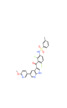 COc1ccc(-c2cnc3[nH]cc(C(=O)c4c(F)ccc(NS(=O)(=O)c5cccc(C)c5)c4F)c3c2)cn1